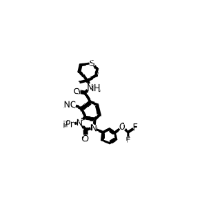 CC(C)n1c(=O)n(-c2cccc(OC(F)F)c2)c2ccc(C(=O)NC3(C)CCSCC3)c(C#N)c21